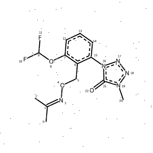 CC(C)=NOCc1c(OC(F)F)cccc1-n1nnn(C)c1=O